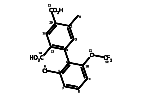 Cc1cc(-c2c(Cl)cccc2OC(F)(F)F)c(C(=O)O)cc1C(=O)O